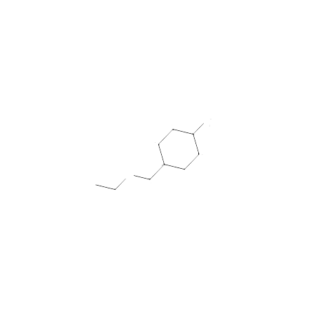 CCOCC1CCC(O)CC1